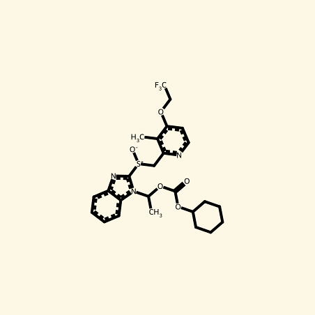 Cc1c(OCC(F)(F)F)ccnc1C[S+]([O-])c1nc2ccccc2n1C(C)OC(=O)OC1CCCCC1